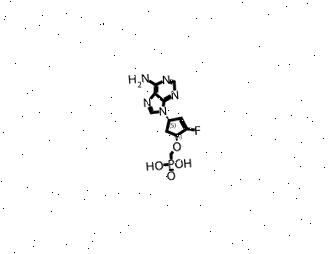 Nc1ncnc2c1ncn2[C@@H]1C=C(F)[C@H](OCP(=O)(O)O)C1